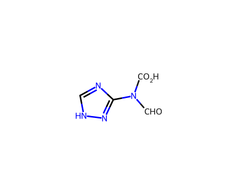 O=CN(C(=O)O)c1nc[nH]n1